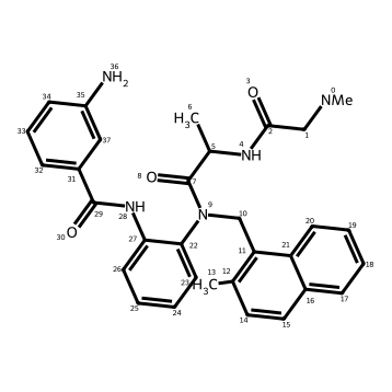 CNCC(=O)NC(C)C(=O)N(Cc1c(C)ccc2ccccc12)c1ccccc1NC(=O)c1cccc(N)c1